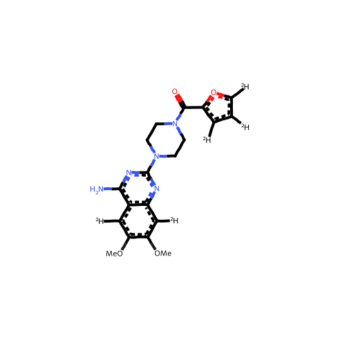 [2H]c1oc(C(=O)N2CCN(c3nc(N)c4c([2H])c(OC)c(OC)c([2H])c4n3)CC2)c([2H])c1[2H]